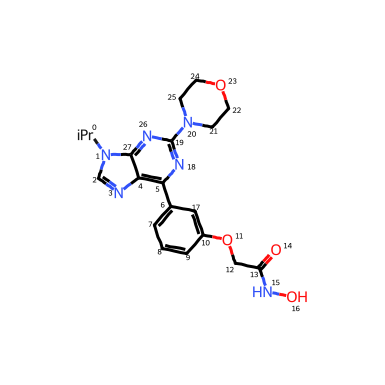 CC(C)n1cnc2c(-c3cccc(OCC(=O)NO)c3)nc(N3CCOCC3)nc21